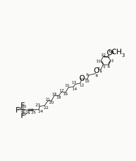 COc1ccc(COCCCOCCCCCCCCCCCCCC#CC(F)(F)F)cc1